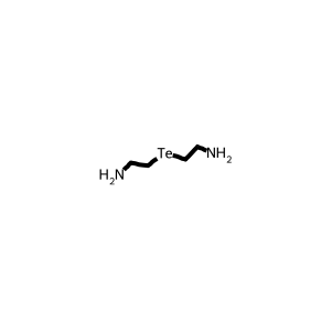 NCC[Te]CCN